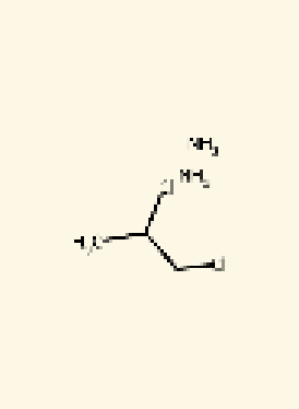 CC(Cl)CCl.N.N